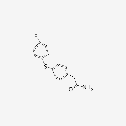 NC(=O)Cc1ccc(Sc2ccc(F)cc2)cc1